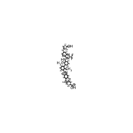 Cc1c(Nc2nc(C(F)F)nc3cc(CN4CCC(O)C4)cnc23)cccc1-c1cccc(-c2nc3cc(CN4CCCC(C(=O)O)C4)c(C4CC4)cc3o2)c1C